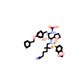 CC(C)(CCCC#N)CN([C@H](C1CCCO1)[C@H](O)[C@H](Cc1ccc(OCc2ccccc2)cc1)NC(=O)O)S(=O)(=O)c1ccc2c(c1)OCO2